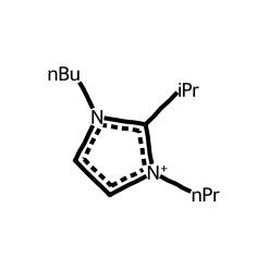 CCCCn1cc[n+](CCC)c1C(C)C